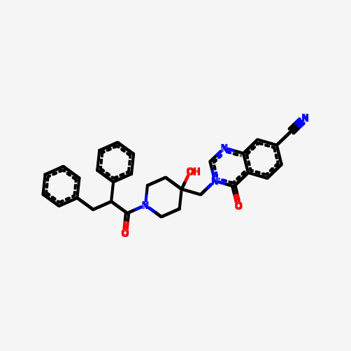 N#Cc1ccc2c(=O)n(CC3(O)CCN(C(=O)C(Cc4ccccc4)c4ccccc4)CC3)cnc2c1